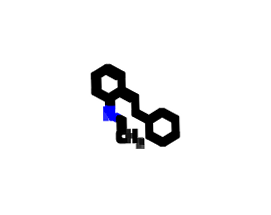 C=C/N=C1/C=CC=C/C1=C/CC1CCCCC1